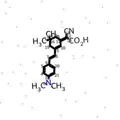 CN(C)c1ccc(/C=C/C2=CC(=C(/C#N)C(=O)O)/CC(C)(C)C2)cc1